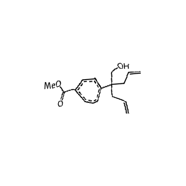 C=CCC(CO)(CC=C)c1ccc(C(=O)OC)cc1